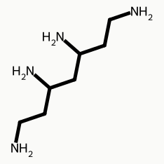 NCCC(N)CC(N)CCN